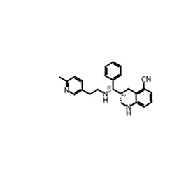 Cc1ccc(CCN[C@H](c2ccccc2)[C@H]2CNc3cccc(C#N)c3C2)cn1